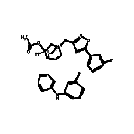 CC(=O)O[C@H]1C[N+]2(Cc3noc(-c4cccc(F)c4)n3)CCC1CC2.Fc1cccc(Nc2ccccc2)c1